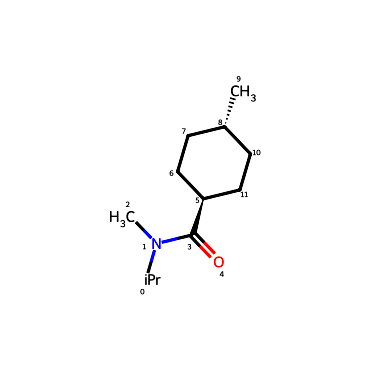 CC(C)N(C)C(=O)[C@H]1CC[C@H](C)CC1